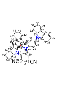 N#Cc1cc(C#N)c(-n2c3ccccc3c3ccccc32)c(-n2c3ccc(-n4c5c(c6ccccc64)C=CCC5)cc3c3c4ccccc4ccc32)c1